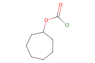 O=C(Cl)OC1CCCCCC1